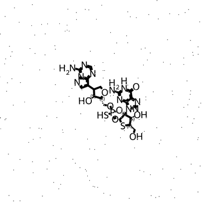 Nc1nc2c(nnn2[C@]2(OP(=O)(S)OC[C@H]3OCC(c4cnn5c(N)ncnc45)[C@@H]3O)CS[C@H](CO)[C@H]2O)c(=O)[nH]1